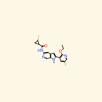 CCOc1ncc(F)cc1-c1cc2cc(NC(=O)C3CC3F)ncc2n1C